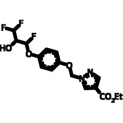 CCOC(=O)c1cnn(COc2ccc(OC(F)C(O)C(F)F)cc2)c1